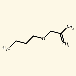 [CH2]CCCOCC(=C)C